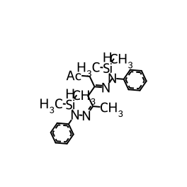 CC(=O)CC(CC(C)=NN(c1ccccc1)[SiH](C)C)=NN(c1ccccc1)[SiH](C)C